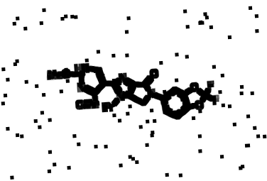 COC1=NC(OC)NC=C1c1nc2c(n1C(C)C)CN(c1ccc3c(c1)OC(F)(F)O3)C2=O